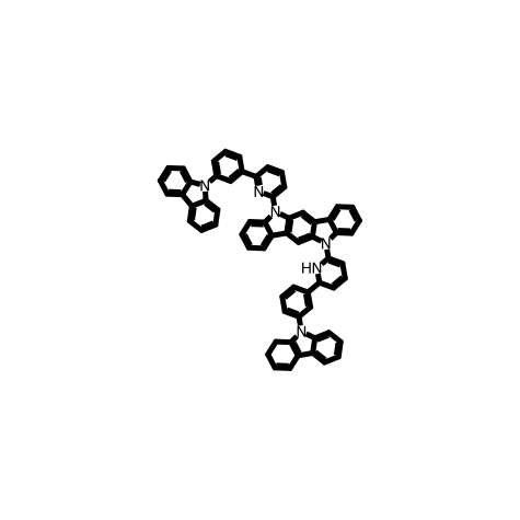 C1=CC(c2cccc(-n3c4c(c5ccccc53)C=CCC4)c2)NC(n2c3ccccc3c3cc4c(cc32)c2ccccc2n4-c2cccc(-c3cccc(-n4c5ccccc5c5ccccc54)c3)n2)=C1